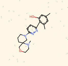 Cc1cc(C)c(-c2ccc(N3CCCC4(COCCN4C)C3)nn2)c(O)c1